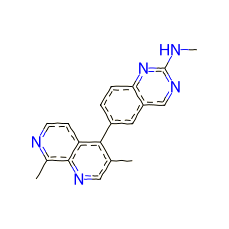 CNc1ncc2cc(-c3c(C)cnc4c(C)nccc34)ccc2n1